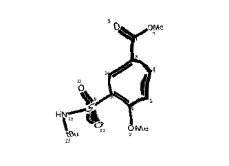 COC(=O)c1ccc(OC)c(S(=O)(=O)NC(C)(C)C)c1